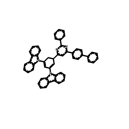 C1=C(n2c3ccccc3c3ccccc32)C=C(n2c3ccccc3c3ccccc32)CC1c1cc(-c2ccc(-c3ccccc3)cc2)nc(-c2ccccc2)n1